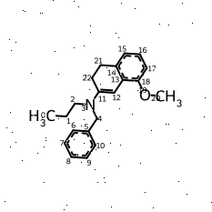 CCCN(Cc1ccccc1)C1=Cc2c(cccc2OC)CC1